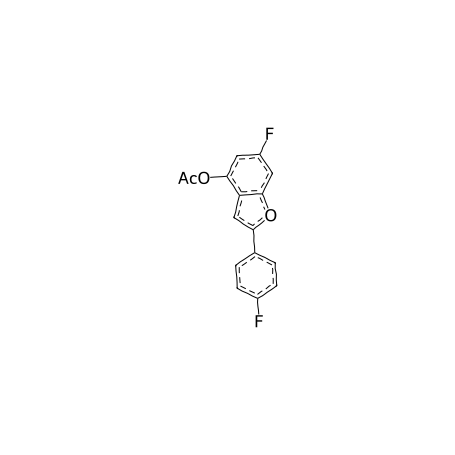 CC(=O)Oc1cc(F)cc2oc(-c3ccc(F)cc3)cc12